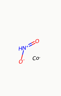 O=[NH+][O-].[Co]